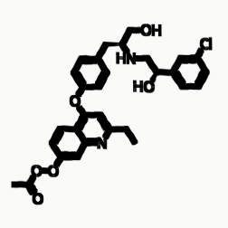 CCc1cc(Oc2ccc(C[C@@H](CO)NC[C@H](O)c3cccc(Cl)c3)cc2)c2ccc(OOC(C)=O)cc2n1